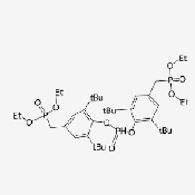 CCOP(=O)(Cc1cc(C(C)(C)C)c(O[PH](=O)Oc2c(C(C)(C)C)cc(CP(=O)(OCC)OCC)cc2C(C)(C)C)c(C(C)(C)C)c1)OCC